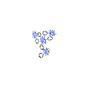 CC1(C)N=C(c2ccccc2)N(c2cccc(-c3nc(-c4cccc(N5C(c6ccccc6)=NC(C)(C)C5(C)C)c4)nc(-c4cccc(N5C(c6ccccc6)=NC(C)(C)C5(C)C)c4)n3)c2)C1(C)C